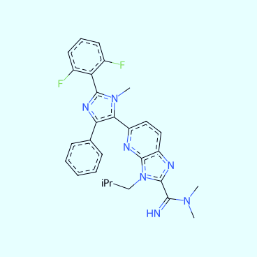 CC(C)Cn1c(C(=N)N(C)C)nc2ccc(-c3c(-c4ccccc4)nc(-c4c(F)cccc4F)n3C)nc21